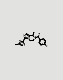 Cc1cnc(-c2ncc3n2CCN(C(=O)c2ccc(F)cc2)C3C)s1